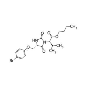 CCCCOC(=O)[C@@H](C(C)C)N1C(=O)N[C@@H](COc2ccc(Br)cc2)C1=O